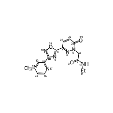 CCNC(=O)Cn1nc(-c2nc(-c3cc(Cl)ccn3)no2)ccc1=O